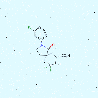 O=C(O)[C@@H]1CC(F)(F)C[C@@]2(CCN(c3cccc(F)c3)C2=O)C1